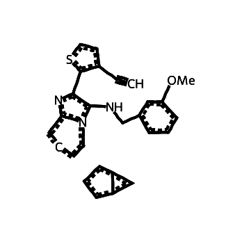 C#Cc1ccsc1-c1nc2ccccn2c1NCc1cccc(OC)c1.c1cc2cc-2c1